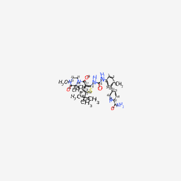 Cc1ccc(NC(=O)Nc2sc(C(C)(C)C)cc2C(=O)N2CCN(C)C(=O)C2(C)C)cc1-c1ccc(C(N)=O)nc1